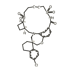 O=C1NS(=O)(=O)CCCCCS(=O)(=O)[C@H]2CC[C@@H]2CN2C[C@@]3(CCCc4cc(Cl)ccc43)COc3ccc1cc32